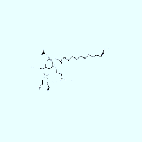 C=CCOP(=O)(OCC=C)O[C@@H]1C(COC)OC(OC(=N)C(Cl)(Cl)Cl)[C@H](NC(=O)CCCCCCCCC/C=C\CCCCCC)[C@H]1OCC[C@@H](CCCCCCC)OC